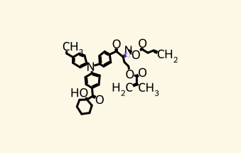 C=CCC(=O)O/N=C(\CCOC(=O)C(=C)C)C(=O)c1ccc(N(c2ccc(CC)cc2)c2ccc(C(=O)C3(O)CCCCC3)cc2)cc1